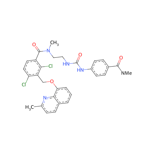 CNC(=O)c1ccc(NC(=O)NCCN(C)C(=O)c2ccc(Cl)c(COc3cccc4ccc(C)nc34)c2Cl)cc1